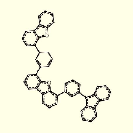 C1=CC(c2cccc3c2oc2c(-c4cccc(-n5c6ccccc6c6ccccc65)c4)cccc23)=CC(c2cccc3c2oc2ccccc23)C1